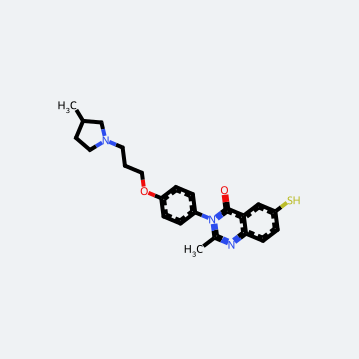 Cc1nc2ccc(S)cc2c(=O)n1-c1ccc(OCCCN2CCC(C)C2)cc1